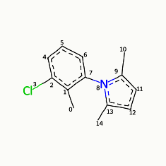 Cc1c(Cl)cccc1-n1c(C)ccc1C